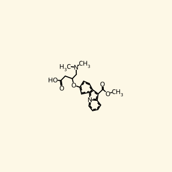 COC(=O)c1c2ccc(OC(CC(=O)O)CN(C)C)cc2n2ccccc12